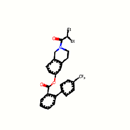 CCC(CC)C(=O)N1CCc2cc(OC(=O)c3ccccc3-c3ccc(C(F)(F)F)cc3)ccc2C1